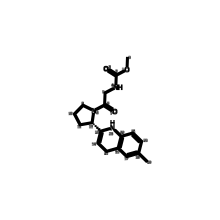 COC(=O)NCC(=O)N1CCC[C@H]1C1=CCc2cc(C)ccc2N1